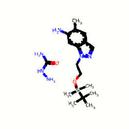 Cc1cc2cnn(CCO[Si](C)(C)C(C)(C)C)c2cc1N.NNC(N)=O